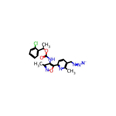 Cc1nc(-c2onc(C)c2NC(=O)O[C@H](C)c2ccccc2Cl)ccc1CN=[N+]=[N-]